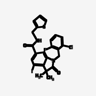 CC1(C)C(=O)N(Cc2c(F)cccc2Cl)c2cc(C(=O)NCc3cccs3)cc(I)c21